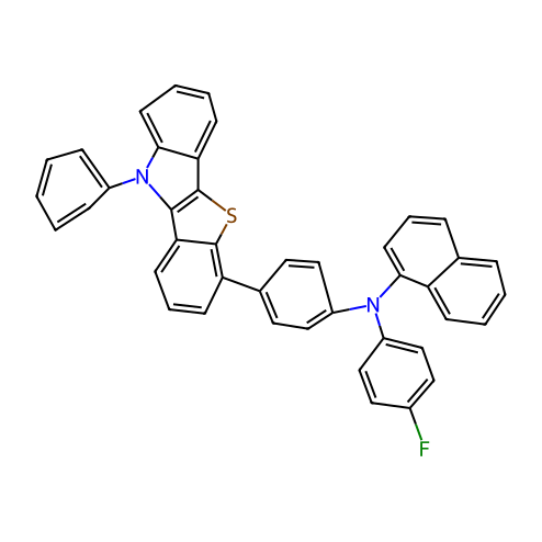 Fc1ccc(N(c2ccc(-c3cccc4c3sc3c5ccccc5n(-c5ccccc5)c43)cc2)c2cccc3ccccc23)cc1